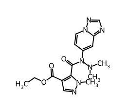 CCOC(=O)c1cnn(C)c1C(=O)N(c1ccn2ncnc2c1)N(C)C